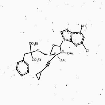 CCOC(=O)C(Cc1ccccc1)(OC[C@H]1OC(n2cnc3c(N)nc(Cl)nc32)[C@H](OC(C)=O)[C@]1(C#CC1CC1)OC(C)=O)C(=O)OCC